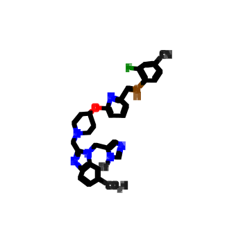 CCn1cncc1Cn1c(CN2CCC(Oc3cccc(C=[SH]c4ccc(C#N)cc4F)n3)CC2)nc2ccc(C(=O)O)cc21